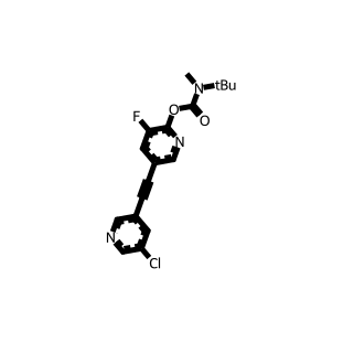 CN(C(=O)Oc1ncc(C#Cc2cncc(Cl)c2)cc1F)C(C)(C)C